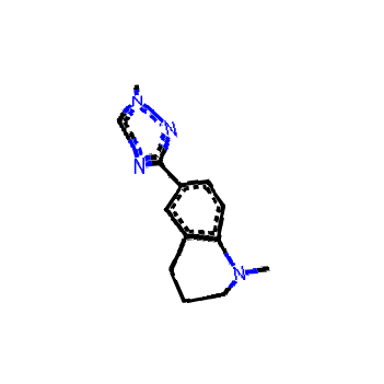 CN1CCCc2cc(-c3ncn(C)n3)ccc21